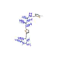 Cc1ccc(CNC(=N)NC(=N)NCc2ccc(CNC(=N)N(C)C(=N)N)s2)s1